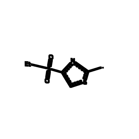 [CH2]c1nc(S(=O)(=O)CC)cs1